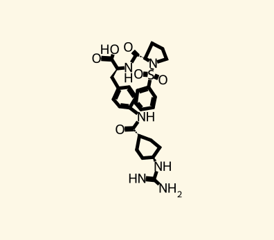 N=C(N)N[C@H]1CC[C@H](C(=O)Nc2ccc(C[C@H](NC(=O)[C@@H]3CCCN3S(=O)(=O)c3ccccc3)C(=O)O)cc2)CC1